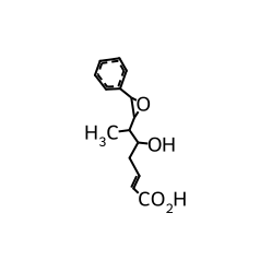 CC(C(O)CC=CC(=O)O)C1OC1c1ccccc1